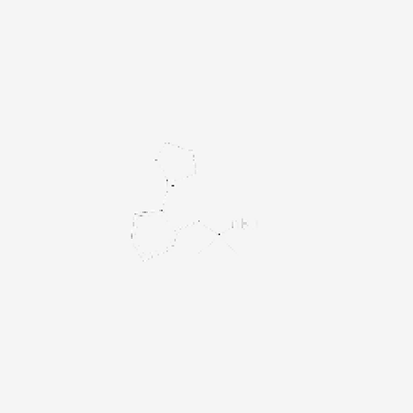 CCCCC(C)(C)Cc1ccccc1N1CCCC1